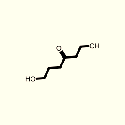 O=C(CCO)CCCO